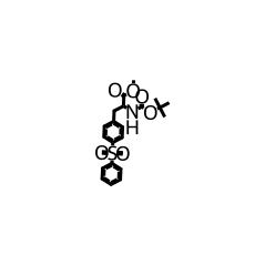 COC(=O)C(Cc1ccc(S(=O)(=O)c2ccccc2)cc1)NC(=O)OC(C)(C)C